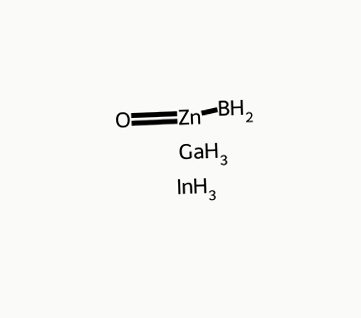 [BH2][Zn]=[O].[GaH3].[InH3]